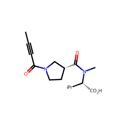 CC#CC(=O)N1CC[C@@H](C(=O)N(C)[C@H](C(=O)O)C(C)C)C1